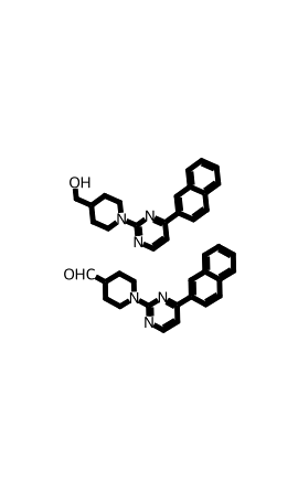 O=CC1CCN(c2nccc(-c3ccc4ccccc4c3)n2)CC1.OCC1CCN(c2nccc(-c3ccc4ccccc4c3)n2)CC1